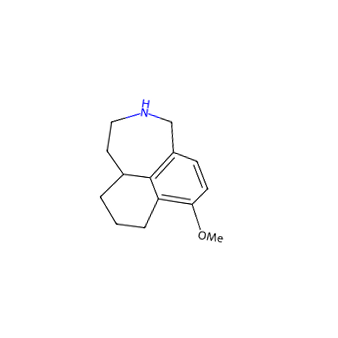 COc1ccc2c3c1CCCC3CCNC2